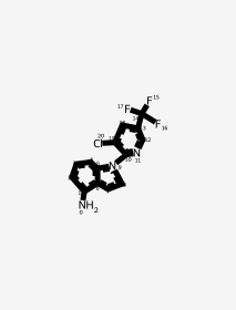 Nc1cccc2c1ccn2-c1ncc(C(F)(F)F)cc1Cl